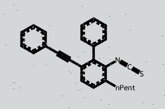 CCCCCc1ccc(C#Cc2ccccc2)c(-c2ccccc2)c1N=C=S